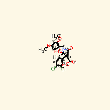 COc1ccc(CN2C(=O)C3C(C(=O)O)C3(c3ccc(Cl)c(Cl)c3)C2(C)O)c(OC)c1